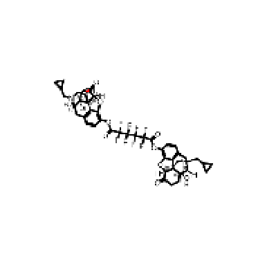 C[C@@H]1CN(CC2CC2)[C@@H]2Cc3ccc(OC(=O)C(F)(F)C(F)(F)C(F)(F)C(F)(F)C(=O)Oc4ccc5c6c4O[C@H]4C(=O)CC[C@@]7(O)[C@@H](C5)N(CC5CC5)CC[C@]647)c4c3[C@]13[C@@H](O4)C(=O)CC[C@@]23O